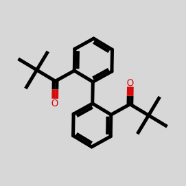 CC(C)(C)C(=O)c1ccccc1-c1ccccc1C(=O)C(C)(C)C